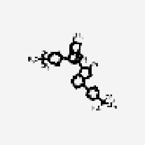 CC1=C2c3c(cc(C4C(C(C)C)=Cc5c(-c6ccc(C(C(F)(F)F)(C(F)(F)F)C(F)(F)F)cc6)cccc54)c(c3-c3ccc(C(C(F)(F)F)(C(F)(F)F)C(F)(F)F)cc3)[Si]2(C)C)[CH]1